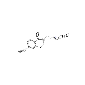 COc1ccc2c(c1)CCN(CC/C=C/C=O)C2=O